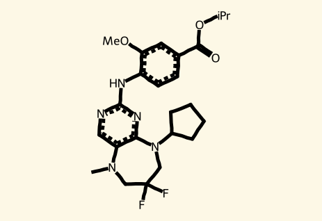 COc1cc(C(=O)OC(C)C)ccc1Nc1ncc2c(n1)N(C1CCCC1)CC(F)(F)CN2C